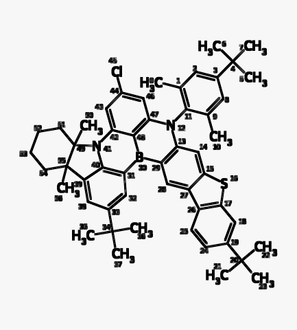 Cc1cc(C(C)(C)C)cc(C)c1N1c2cc3sc4cc(C(C)(C)C)ccc4c3cc2B2c3cc(C(C)(C)C)cc4c3N(c3cc(Cl)cc1c32)C1(C)CCCCC41C